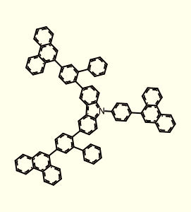 c1ccc(-c2cc(-c3cc4ccccc4c4ccccc34)ccc2-c2ccc3c(c2)c2cc(-c4ccc(-c5cc6ccccc6c6ccccc56)cc4-c4ccccc4)ccc2n3-c2ccc(-c3cc4ccccc4c4ccccc34)cc2)cc1